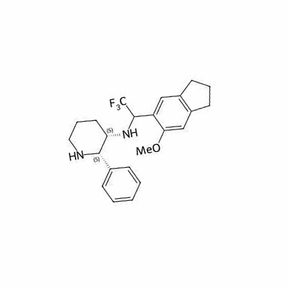 COc1cc2c(cc1C(N[C@H]1CCCN[C@H]1c1ccccc1)C(F)(F)F)CCC2